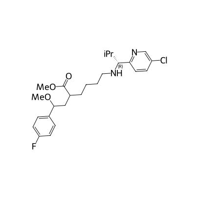 COC(=O)C(CCCCN[C@@H](c1ccc(Cl)cn1)C(C)C)CC(OC)c1ccc(F)cc1